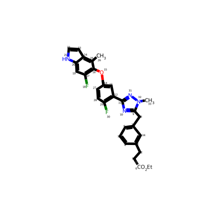 CCOC(=O)CCc1cccc(Cc2nc(-c3cc(Oc4c(F)cc5[nH]ccc5c4C)ccc3F)nn2C)c1